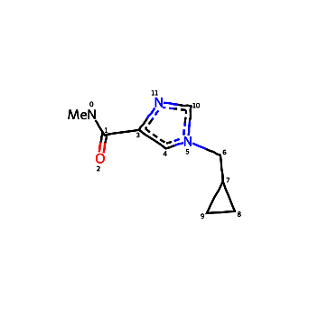 CNC(=O)c1cn(CC2CC2)cn1